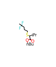 CCCCOC(=O)C(SCCCC(C)(F)F)C(C)C